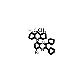 CC1(C)c2ccccc2N(c2ccc(Br)c3nc(-c4ccccc4)c(-c4ccccc4)nc23)c2ccccc21